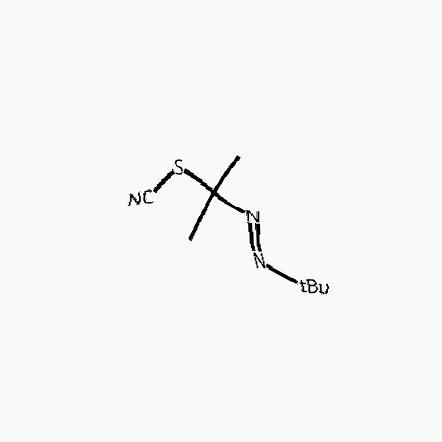 CC(C)(C)N=NC(C)(C)SC#N